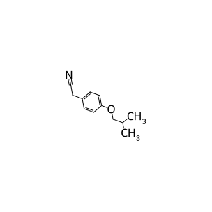 CC(C)COc1ccc(CC#N)cc1